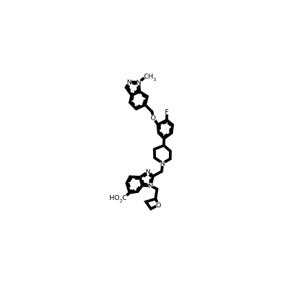 Cn1ncc2ccc(COc3cc(C4CCN(Cc5nc6ccc(C(=O)O)cc6n5CC5CCO5)CC4)ccc3F)cc21